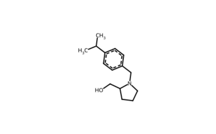 CC(C)c1ccc(CN2CCCC2CO)cc1